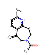 C=C1CN(C(=O)C(F)(F)F)CCc2nc(OC)ccc21